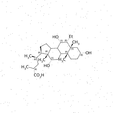 CC[C@H]1[C@@H](O)C2C3CC[C@H]([C@H](C)C[C@@H](C)C(=O)O)[C@@]3(C)[C@@H](O)CC2[C@@]2(C)CC[C@@H](O)C[C@@]12C